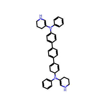 C1=CC(N(C2=CNCCC2)c2ccccc2)CC=C1c1ccc(-c2ccc(N(C3=CNCCC3)c3ccccc3)cc2)cc1